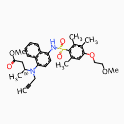 C#CCN(c1ccc(NS(=O)(=O)c2c(C)cc(OCCOC)c(C)c2C)c2ccccc12)[C@@H](C)CC(=O)OC